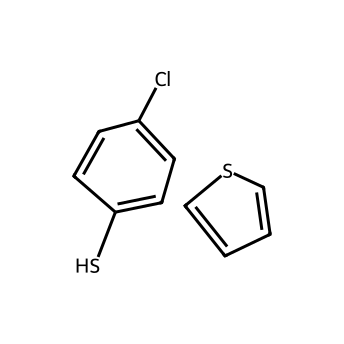 Sc1ccc(Cl)cc1.c1ccsc1